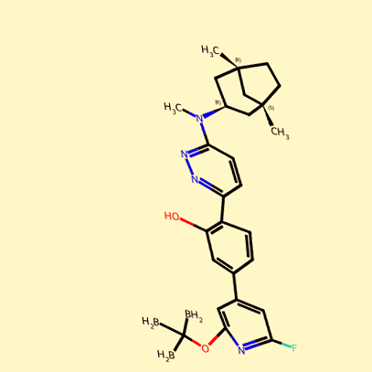 BC(B)(B)Oc1cc(-c2ccc(-c3ccc(N(C)[C@H]4C[C@]5(C)CC[C@](C)(C4)C5)nn3)c(O)c2)cc(F)n1